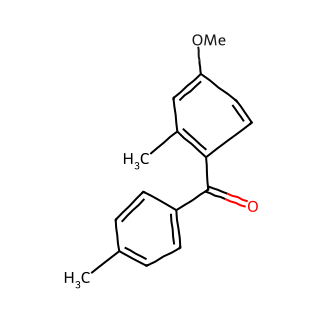 COc1ccc(C(=O)c2ccc(C)cc2)c(C)c1